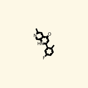 Cc1cc2c(=O)cc(-c3cc(F)ccc3C)[nH]c2cn1